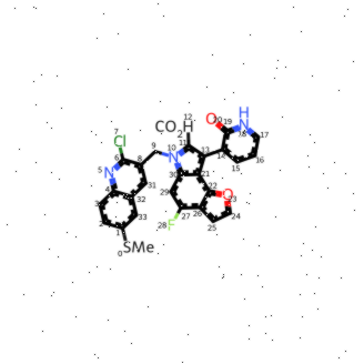 CSc1ccc2nc(Cl)c(Cn3c(C(=O)O)c(-c4ccc[nH]c4=O)c4c5occc5c(F)cc43)cc2c1